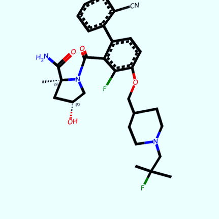 CC(C)(F)CN1CCC(COc2ccc(-c3ccccc3C#N)c(C(=O)N3C[C@H](O)C[C@@]3(C)C(N)=O)c2F)CC1